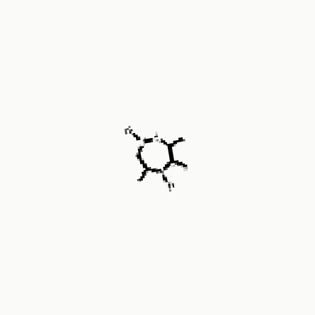 CC1ON(C(C)C)CC(C)N(C(C)C)C1C